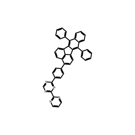 c1ccc(-c2c3c(c(-c4ccccc4)c4ccccc24)-c2ccc(-c4ccc(-c5ncnc(-c6ncccn6)n5)cc4)c4cccc-3c24)cc1